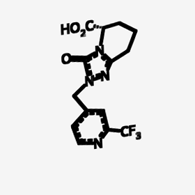 O=C(O)[C@@H]1CCCc2nn(Cc3ccnc(C(F)(F)F)c3)c(=O)n21